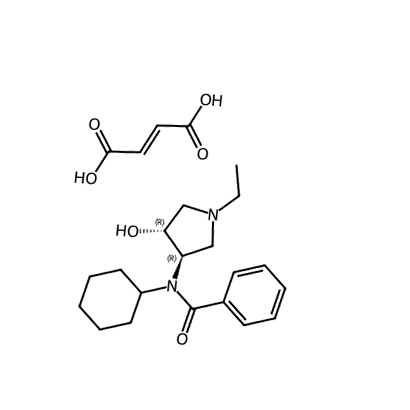 CCN1C[C@@H](O)[C@H](N(C(=O)c2ccccc2)C2CCCCC2)C1.O=C(O)C=CC(=O)O